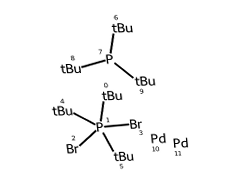 CC(C)(C)P(Br)(Br)(C(C)(C)C)C(C)(C)C.CC(C)(C)P(C(C)(C)C)C(C)(C)C.[Pd].[Pd]